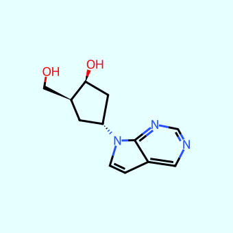 OC[C@@H]1C[C@@H](n2ccc3cncnc32)C[C@@H]1O